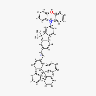 CCC1(CC)c2cc(/C=C/c3cccc4c3-c3ccccc3C4(c3ccccc3)c3ccccc3)ccc2-c2ccc(N3c4ccccc4Oc4ccccc43)cc21